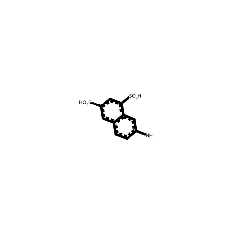 [NH]c1ccc2cc(S(=O)(=O)O)cc(S(=O)(=O)O)c2c1